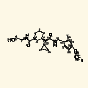 O=C(NCCO)N1CCC[C@@H](N(C(=O)NCc2ccc(OC(F)(F)F)cc2F)C2CC2)C1